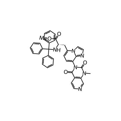 COC(=O)[C@H](Cc1ccc(-n2c(=O)c3ccncc3n(C)c2=O)c2nccn12)NC(c1ccccc1)(c1ccccc1)c1ccccc1